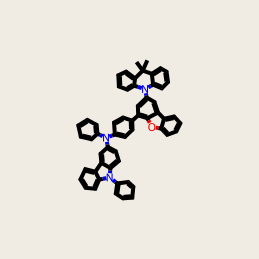 CC1(C)c2ccccc2N(c2cc(-c3ccc(N(c4ccccc4)c4ccc5c(c4)c4ccccc4n5-c4ccccc4)cc3)c3oc4ccccc4c3c2)c2ccccc21